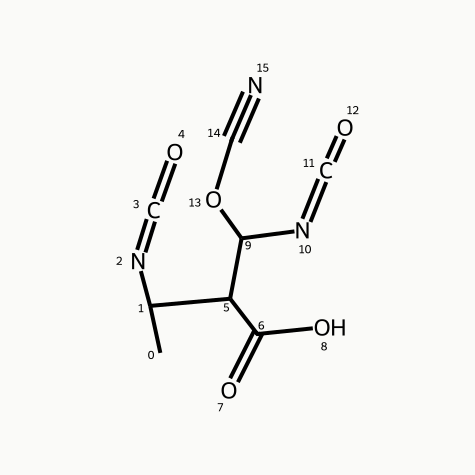 CC(N=C=O)C(C(=O)O)C(N=C=O)OC#N